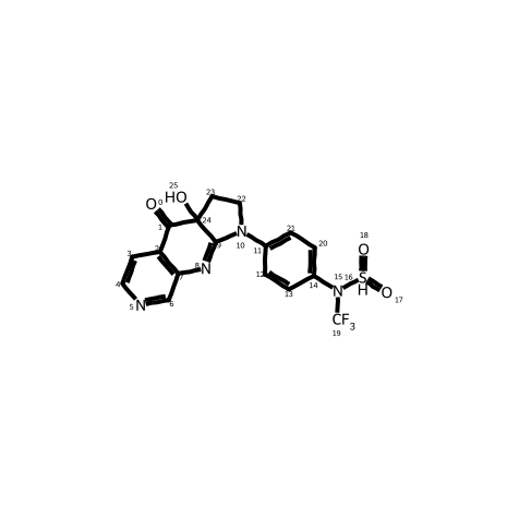 O=C1c2ccncc2N=C2N(c3ccc(N([SH](=O)=O)C(F)(F)F)cc3)CCC12O